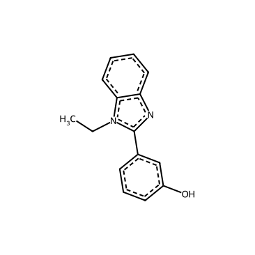 CCn1c(-c2cccc(O)c2)nc2ccccc21